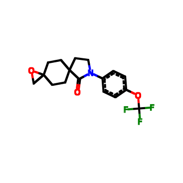 O=C1N(c2ccc(OC(F)(F)F)cc2)CCC12CCC1(CC2)CO1